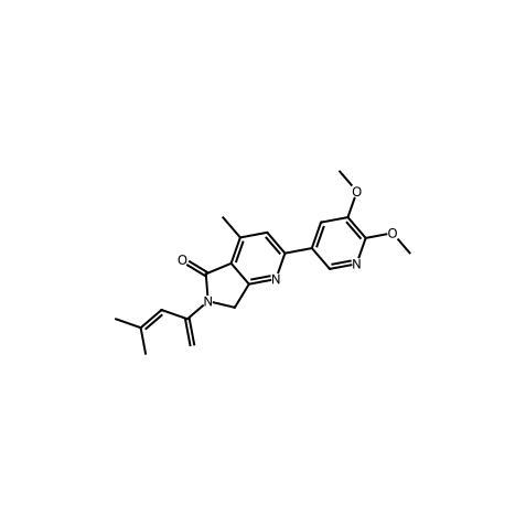 C=C(C=C(C)C)N1Cc2nc(-c3cnc(OC)c(OC)c3)cc(C)c2C1=O